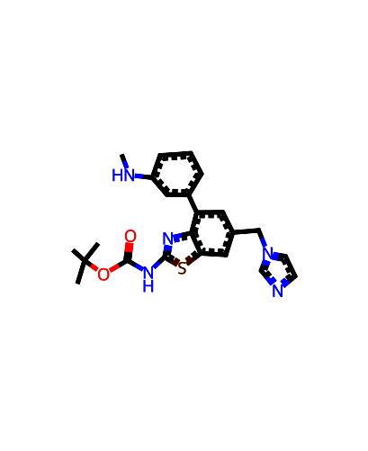 CNc1cccc(-c2cc(Cn3ccnc3)cc3sc(NC(=O)OC(C)(C)C)nc23)c1